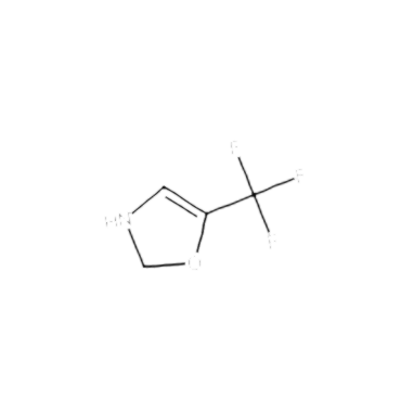 FC(F)(F)C1=CN[CH]O1